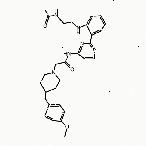 COc1ccc(CC2CCN(CC(=O)Nc3ccnc(-c4ccccc4NCCNC(C)=O)n3)CC2)cc1